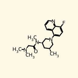 C[C@H]1C[C@@H](N(C)C(=O)CN(C)C)CN(c2ccc(F)c3ncccc23)C1